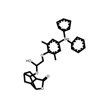 Cc1cc([SiH](c2ccccc2)c2ccccc2)cc(C)c1OCC(O)OC1C2CC3C(=O)OC1C3C2